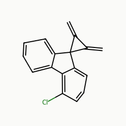 C=C1C(=C)C12c1ccccc1-c1c(Cl)cccc12